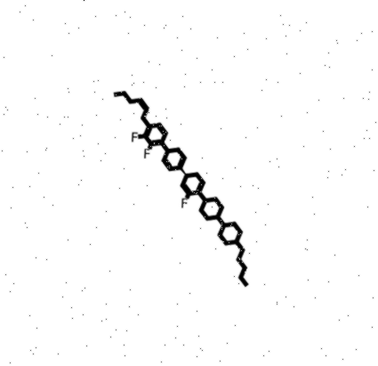 CCC/C=C\Cc1ccc(C2C=CC([C@@H]3C=C(F)C(C4CCC(C5CCC(CCCCC)CC5)CC4)=CC3)=CC2)c(F)c1F